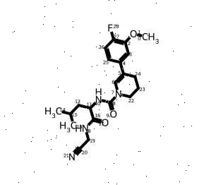 COc1cc(C2=CN(C(=O)NC(CC(C)C)C(=O)NCC#N)CCC2)ccc1F